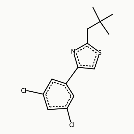 CC(C)(C)Cc1nc(-c2cc(Cl)cc(Cl)c2)cs1